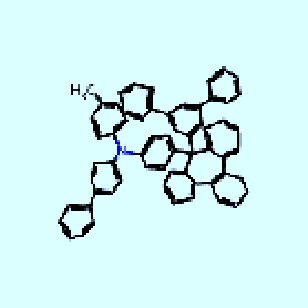 Cc1ccc(N(c2ccc(-c3ccccc3)cc2)c2ccc(C3(c4cc(-c5ccccc5)cc(-c5ccccc5)c4)c4ccccc4C4=C(CCC=C4)c4ccccc43)cc2)cc1